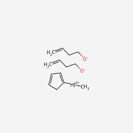 C=CCC[O-].C=CCC[O-].[CH3][Hf+2][C]1=CC=CC1